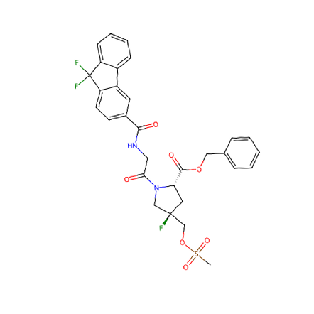 CS(=O)(=O)OC[C@@]1(F)C[C@@H](C(=O)OCc2ccccc2)N(C(=O)CNC(=O)c2ccc3c(c2)-c2ccccc2C3(F)F)C1